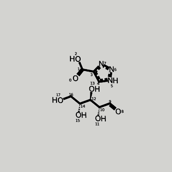 O=C(O)c1c[nH]nn1.O=C[C@H](O)[C@H](O)[C@H](O)CO